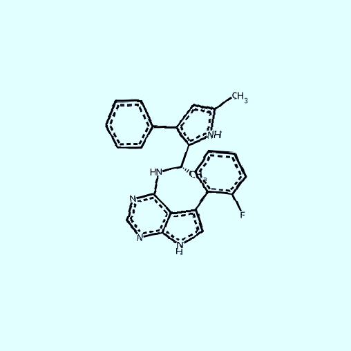 Cc1cc(-c2ccccc2)c([C@H](C)Nc2ncnc3[nH]cc(-c4ccccc4F)c23)[nH]1